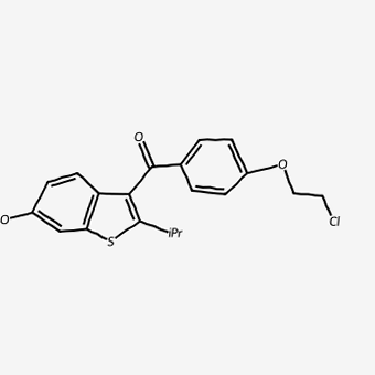 COc1ccc2c(C(=O)c3ccc(OCCCl)cc3)c(C(C)C)sc2c1